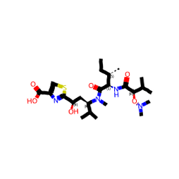 CC[C@H](C)[C@H](NC(=O)[C@H](ON(C)C)C(C)C)C(=O)N(C)[C@H](C[C@@H](O)c1nc(C(=O)O)cs1)C(C)C